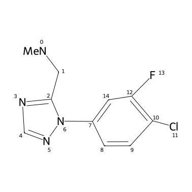 CNCc1ncnn1-c1ccc(Cl)c(F)c1